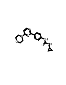 O=C(Nc1ccc(-c2nccc(N3CCOCC3)n2)cc1)NC1CC1